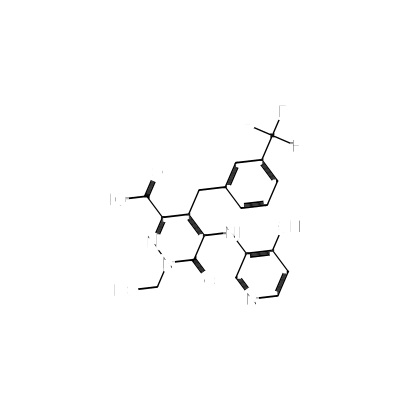 CCn1nc(C(=O)O)c(Cc2cccc(C(F)(F)F)c2)c(Nc2cnccc2C)c1=O